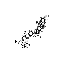 CCC(C)(C)c1ccc(C(=O)c2ccc(C(C)(C)Oc3ccc(C(c4ccc(O)cc4)(C(F)(F)F)C(F)(F)F)cc3)cc2)cc1